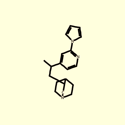 C[C](CC1CN2CCC1CC2)c1ccnc(-n2cccc2)c1